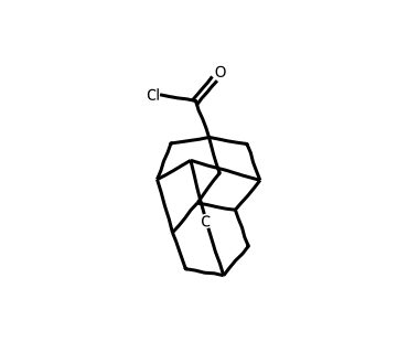 O=C(Cl)C12CC3C4CC5CC3C(C1)C(C5)C4C2